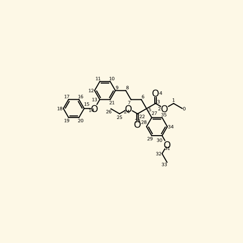 CCOC(=O)C(CCCc1cccc(Oc2ccccc2)c1)(C(=O)OCC)c1ccc(OCC)cc1